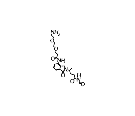 CC(CCC(=O)NC=O)N1Cc2c(NC(=O)CCOCCOCCN)cccc2C1=O